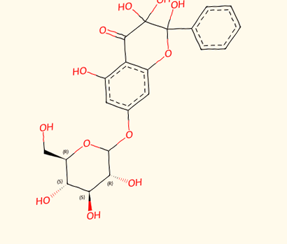 O=C1c2c(O)cc(OC3O[C@H](CO)[C@@H](O)[C@H](O)[C@H]3O)cc2OC(O)(c2ccccc2)C1(O)O